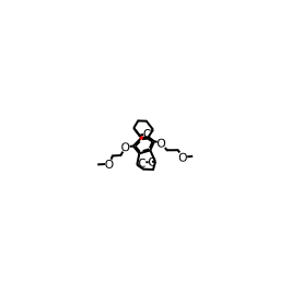 COCCOc1c2c(c(OCCOC)c3c1C1CCC3CC1)C1CCC2CC1